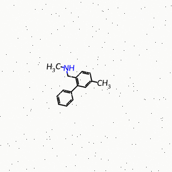 CNCc1ccc(C)cc1-c1ccccc1